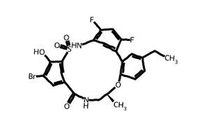 CCc1ccc2c(c1)-c1cc(c(F)cc1F)NS(=O)(=O)c1cc(cc(Br)c1O)C(=O)NC[C@H](C)O2